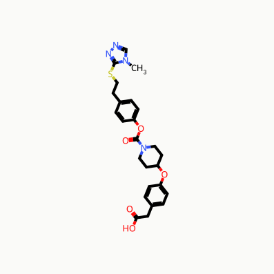 Cn1cnnc1SCCc1ccc(OC(=O)N2CCC(Oc3ccc(CC(=O)O)cc3)CC2)cc1